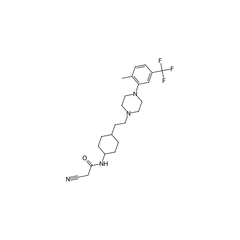 Cc1ccc(C(F)(F)F)cc1N1CCN(CCC2CCC(NC(=O)CC#N)CC2)CC1